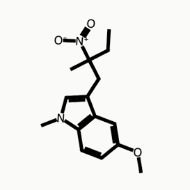 CCC(C)(Cc1cn(C)c2ccc(OC)cc12)[N+](=O)[O-]